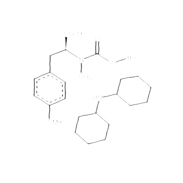 C1CCC(NC2CCCCC2)CC1.COc1ccc(C[C@@H](C(=O)O)N(C)C(=O)OC(C)(C)C)cc1